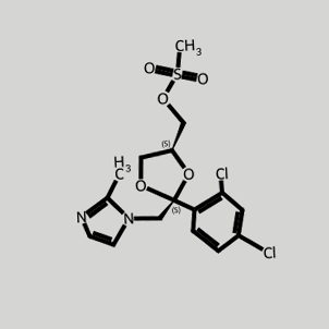 Cc1nccn1C[C@@]1(c2ccc(Cl)cc2Cl)OC[C@@H](COS(C)(=O)=O)O1